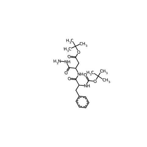 CC(C)(C)OC(=O)CC(NC(=O)C(Cc1ccccc1)NC(=O)OC(C)(C)C)C(=O)NN